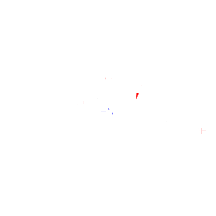 O=C(N[C@@H](O)CCCO)OCc1ccccc1